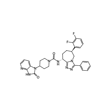 O=C(N[C@@H]1CC[C@@H](c2cccc(F)c2F)Cn2c(-c3ccccc3)nnc21)N1CCC(n2c(=O)[nH]c3ncccc32)CC1